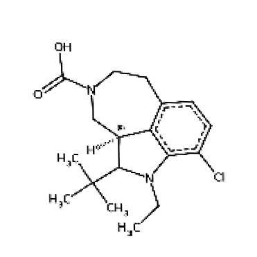 CCN1c2c(Cl)ccc3c2[C@H](CN(C(=O)O)CC3)C1C(C)(C)C